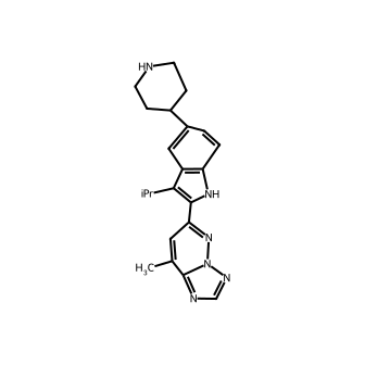 Cc1cc(-c2[nH]c3ccc(C4CCNCC4)cc3c2C(C)C)nn2ncnc12